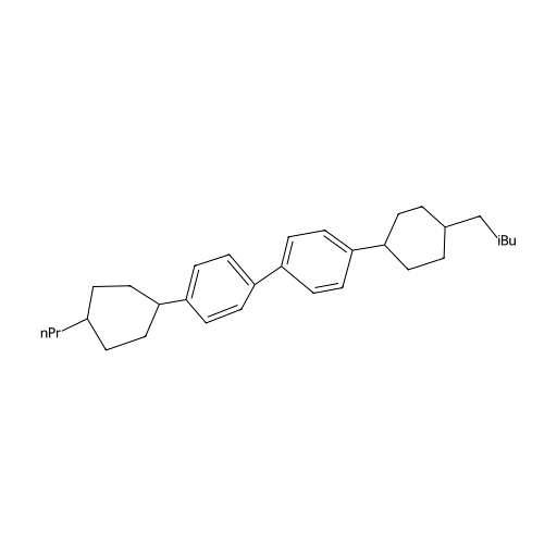 CCCC1CCC(c2ccc(-c3ccc(C4CCC(CC(C)CC)CC4)cc3)cc2)CC1